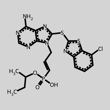 CCC(C)OP(=O)(O)C=CCn1c(Sc2nc3cccc(Cl)c3s2)nc2c(N)ncnc21